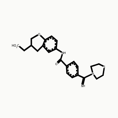 N=C(c1ccc(C(=O)Nc2ccc3c(c2)CC(CC(=O)O)CO3)cc1)N1CCSCC1